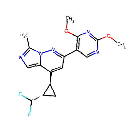 COc1ncc(-c2cc([C@H]3C[C@@H]3C(F)F)c3cnc(C)n3n2)c(OC)n1